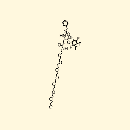 COCCOCCOCCOCCOCCOCCOCCOCCNC(=O)CC[C@H](NC(=O)OCc1ccccc1)C(=O)Oc1c(F)c(F)c(F)c(F)c1F